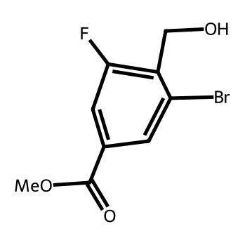 COC(=O)c1cc(F)c(CO)c(Br)c1